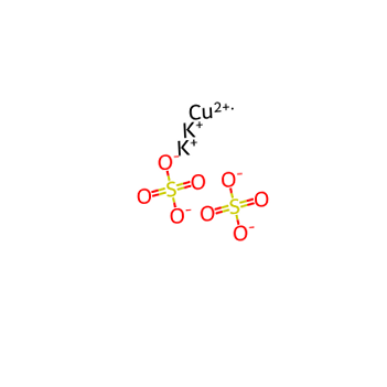 O=S(=O)([O-])[O-].O=S(=O)([O-])[O-].[Cu+2].[K+].[K+]